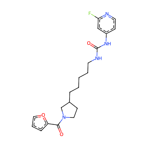 O=C(NCCCCCC1CCN(C(=O)c2ccco2)C1)Nc1ccnc(F)c1